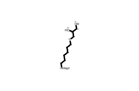 CCCCCCCCCCCCCSCC(O)CO